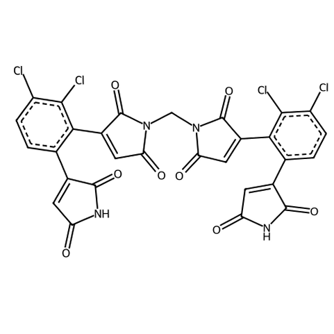 O=C1C=C(c2ccc(Cl)c(Cl)c2C2=CC(=O)N(CN3C(=O)C=C(c4c(C5=CC(=O)NC5=O)ccc(Cl)c4Cl)C3=O)C2=O)C(=O)N1